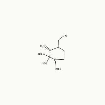 C=C1C(CC#N)CCP(CCCC)C1(CCCC)CCCC